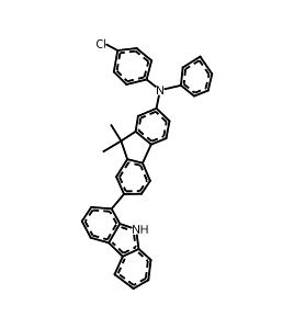 CC1(C)c2cc(-c3cccc4c3[nH]c3ccccc34)ccc2-c2ccc(N(c3ccccc3)c3ccc(Cl)cc3)cc21